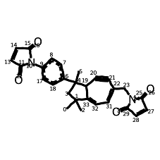 CC1(C)CC(C)(c2ccc(N3C(=O)C=CC3=O)cc2)C2C#CC(CN3C(=O)C=CC3=O)=CC=C21